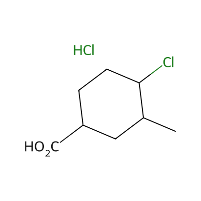 CC1CC(C(=O)O)CCC1Cl.Cl